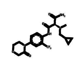 CN(CC1CC1)[C@H](C(N)=O)C(=O)Nc1ccc(N2CCOCC2=O)cc1C(F)(F)F